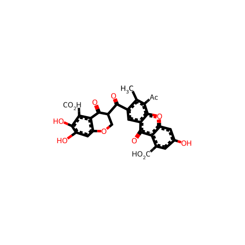 CC(=O)c1c(C)c(C(=O)C2COc3cc(O)c(O)c(C(=O)O)c3C2=O)cc2c(=O)c3c(C(=O)O)cc(O)cc3oc12